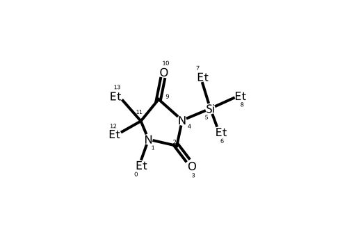 CCN1C(=O)N([Si](CC)(CC)CC)C(=O)C1(CC)CC